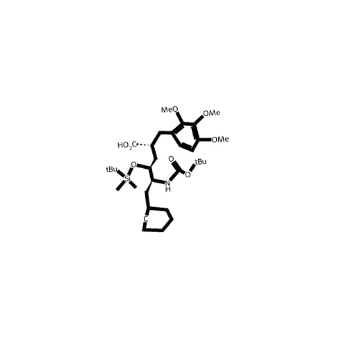 COc1ccc(C[C@H](C[C@H](O[Si](C)(C)C(C)(C)C)[C@H](CC2CCCCC2)NC(=O)OC(C)(C)C)C(=O)O)c(OC)c1OC